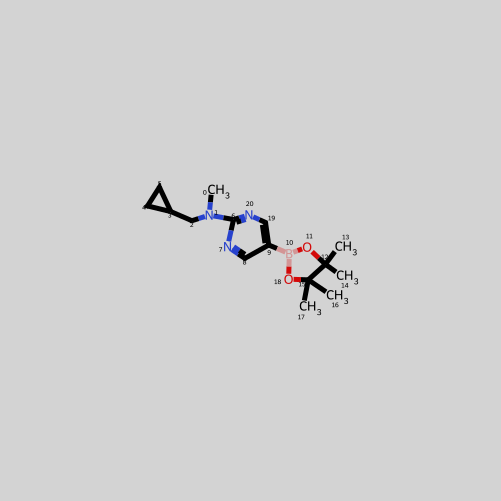 CN(CC1CC1)c1ncc(B2OC(C)(C)C(C)(C)O2)cn1